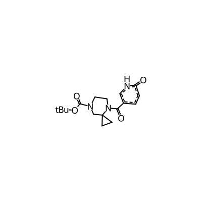 CC(C)(C)OC(=O)N1CCN(C(=O)c2ccc(=O)[nH]c2)C2(CC2)C1